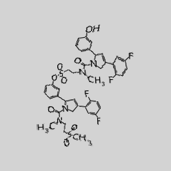 CN(CCS(C)(=O)=O)C(=O)N1CC(c2cc(F)ccc2F)=CC1c1cccc(OS(=O)(=O)CCN(C)C(=O)N2CC(c3cc(F)ccc3F)=CC2c2cccc(O)c2)c1